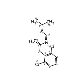 C=C(Cc1c(Cl)cccc1Cl)/N=C\C=C(C)C